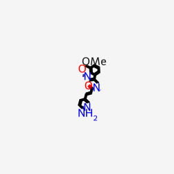 COC(=O)c1cccc2c(CN(C)C(=O)C=Cc3ccc(N)nc3)cn(C)c12